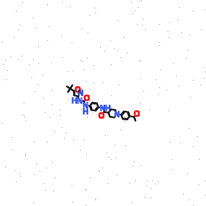 CC(=O)c1ccc(N2CCC(C(=O)Nc3ccc(NC(=O)Nc4cc(C(C)(C)C)on4)cc3)CC2)cc1